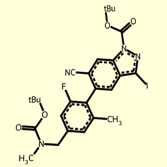 Cc1cc(CN(C)C(=O)OC(C)(C)C)cc(F)c1-c1cc2c(I)nn(C(=O)OC(C)(C)C)c2cc1C#N